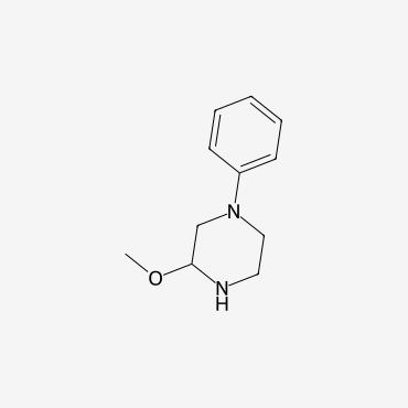 COC1CN(c2ccccc2)CCN1